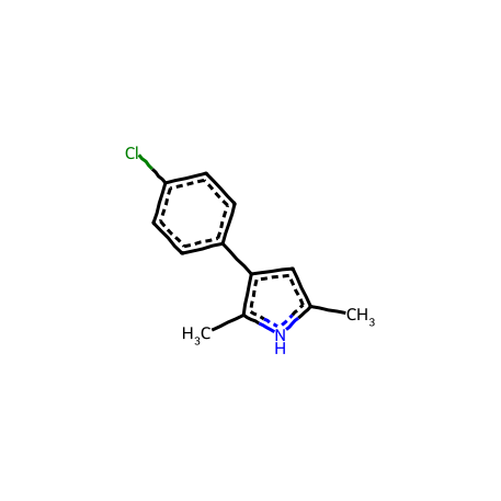 Cc1cc(-c2ccc(Cl)cc2)c(C)[nH]1